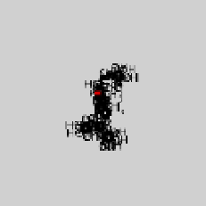 C[C@@H](CC[C@@]1(O)O[C@H]2C[C@H]3[C@@H]4CC[C@@H]5C[C@@H](O[C@@H]6O[C@H](CO)[C@@H](O[C@@H]7O[C@@H](C)[C@H](O)[C@@H](O)[C@H]7O)[C@H](O)[C@H]6O[C@@H]6O[C@H](CO)[C@@H](O)[C@H](O)[C@H]6O)CC[C@]5(C)[C@H]4CC[C@]3(C)[C@H]2[C@@H]1C)CO[C@@H]1O[C@H](CO)[C@@H](O)[C@H](O)[C@H]1O